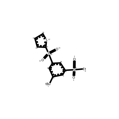 CCS(=O)(=O)c1cc(C(C)(C)C)cc(S(=O)(=O)c2cccs2)c1